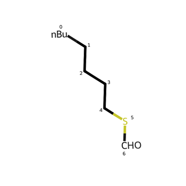 CCCCCCCCSC=O